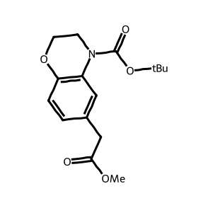 COC(=O)Cc1ccc2c(c1)N(C(=O)OC(C)(C)C)CCO2